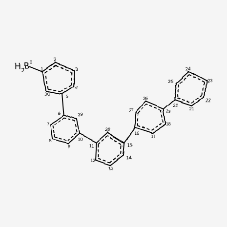 Bc1cccc(-c2cccc(-c3cccc(-c4ccc(-c5ccccc5)cc4)c3)c2)c1